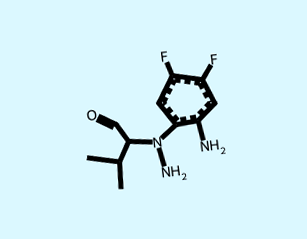 CC(C)C(C=O)N(N)c1cc(F)c(F)cc1N